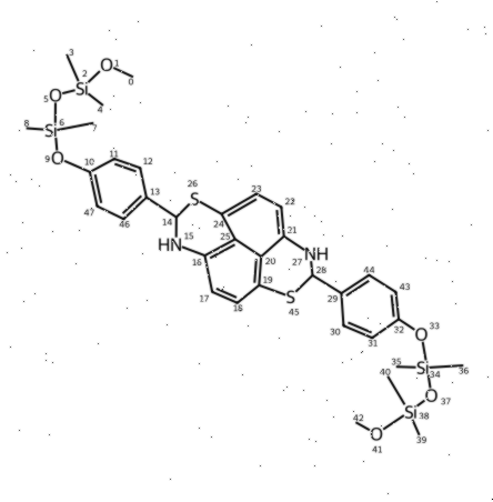 CO[Si](C)(C)O[Si](C)(C)Oc1ccc(C2Nc3ccc4c5c(ccc(c35)S2)NC(c2ccc(O[Si](C)(C)O[Si](C)(C)OC)cc2)S4)cc1